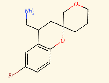 NCC1CC2(CCCOC2)Oc2ccc(Br)cc21